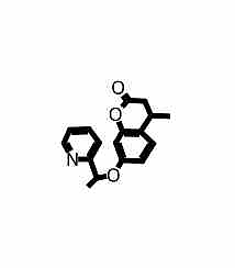 CC1CC(=O)Oc2cc(OC(C)c3ccccn3)ccc21